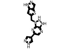 c1n[nH]cc1-c1cnc2c(n1)N(Cc1cc3[nH]ncc3s1)NN2